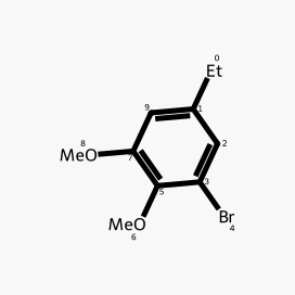 [CH2]Cc1cc(Br)c(OC)c(OC)c1